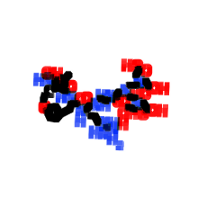 CC(C)C[C@H]1C(=O)NC(C(=O)N[C@@H](CCCNC(=N)N)C(=O)NCCNC(=O)CN(CCN(CC(=O)O)CC(O)O)CCN(CC(=O)O)CC(O)O)Cc2ccc(cc2)OCCCC1C(=O)NO